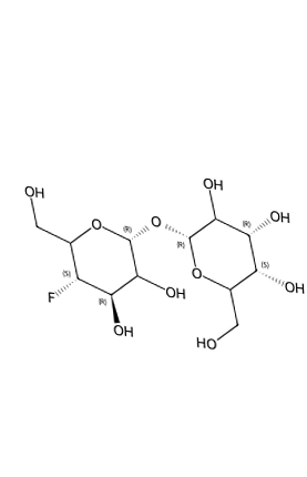 OCC1O[C@H](O[C@H]2OC(CO)[C@@H](F)[C@H](O)C2O)C(O)[C@H](O)[C@@H]1O